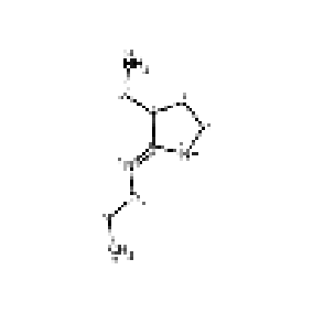 CCON=C1NCCC1CN